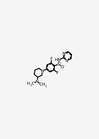 CN(C)C1CCCN(c2cc(F)c([S+]([O-])Nc3ncccn3)c(F)c2)C1